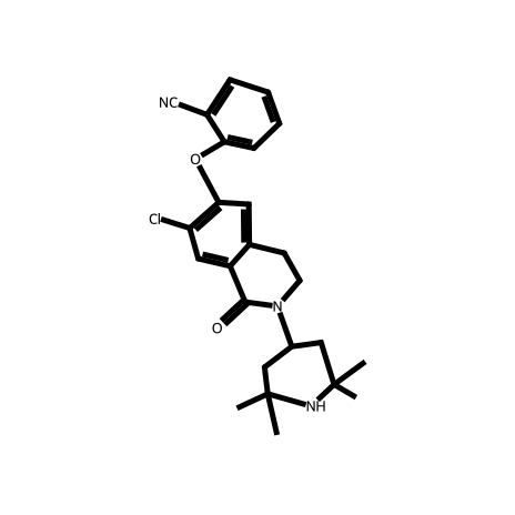 CC1(C)CC(N2CCc3cc(Oc4ccccc4C#N)c(Cl)cc3C2=O)CC(C)(C)N1